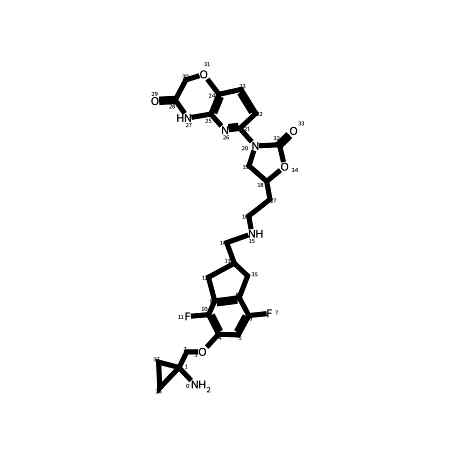 NC1(COc2cc(F)c3c(c2F)CC(CNCCC2CN(c4ccc5c(n4)NC(=O)CO5)C(=O)O2)C3)CC1